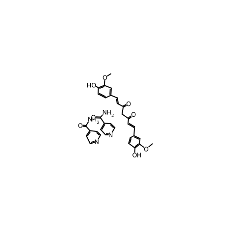 COc1cc(C=CC(=O)CC(=O)C=Cc2ccc(O)c(OC)c2)ccc1O.NC(=O)c1ccncc1.NC(=O)c1ccncc1